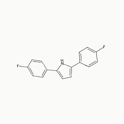 Fc1ccc(-c2ccc(-c3ccc(F)cc3)[nH]2)cc1